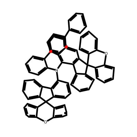 c1ccc(-c2ccc(-c3ccccc3N(c3cccc4c3-c3ccccc3C43c4ccccc4Oc4ccccc43)c3c4c(cc5ccccc35)C3(c5ccccc5Oc5ccccc53)c3ccccc3-4)cc2)cc1